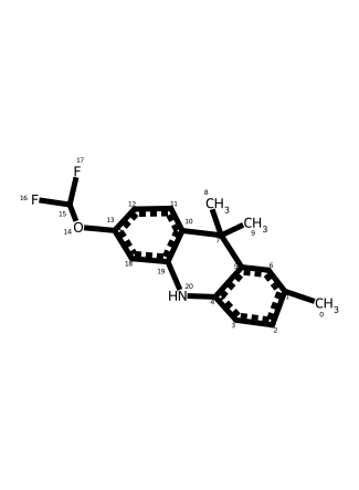 Cc1ccc2c(c1)C(C)(C)c1ccc(OC(F)F)cc1N2